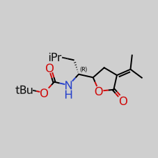 CC(C)=C1CC([C@@H](CC(C)C)NC(=O)OC(C)(C)C)OC1=O